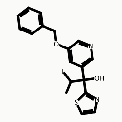 CC(I)C(O)(c1cncc(OCc2ccccc2)c1)c1nccs1